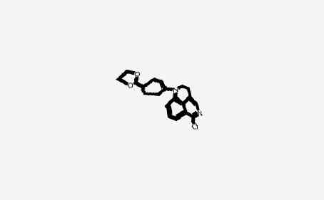 Clc1ncc2c3c(cccc13)N(C1CCC(C3OCCO3)CC1)CC2